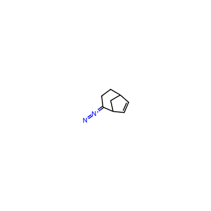 [N-]=[N+]=C1CCC2C=CC1C2